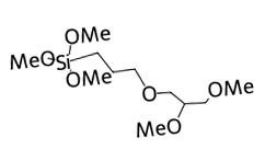 COCC(COCCC[Si](OC)(OC)OC)OC